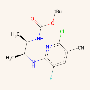 C[C@H](Nc1nc(Cl)c(C#N)cc1F)[C@@H](C)NC(=O)OC(C)(C)C